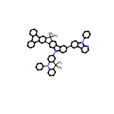 CC1(C)c2cc3c4ccccc4c4ccccc4c3cc2-c2cc3c(cc21)c1cc(-c2ccc4c(c2)c2cccnc2n4-c2ccccc2)ccc1n3-c1ccc2c(c1)C(C)(C)c1ccccc1N2c1ccccc1